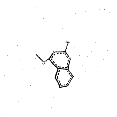 [2H]c1nc(OC)c2ccccc2n1